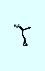 C=C(Br)CN=[C:1]